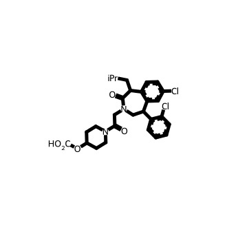 CC(C)CC1C(=O)N(CC(=O)N2CCC(OC(=O)O)CC2)CC(c2ccccc2Cl)c2cc(Cl)ccc21